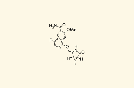 COc1cc2c(OC[C@H]3NC(=O)[C@@H]4[C@@H](C)[C@@H]43)ncc(F)c2cc1C(N)=O